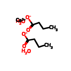 CCCC(=O)[O-].CCCC(=O)[O-].O.O.[Ca+2]